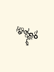 CCOc1ccccc1-c1ccc(N2CCN(C(=O)N3CCC[C@H]3C(F)(F)F)C[C@H]2CC)c(C(=O)NCC2CN(C)C2)n1